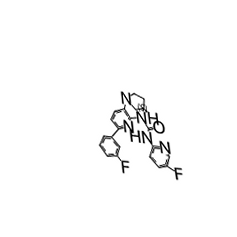 O=C(Nc1ccc(F)cn1)N1c2nc(-c3cccc(F)c3)ccc2N2CC[C@H]1C2